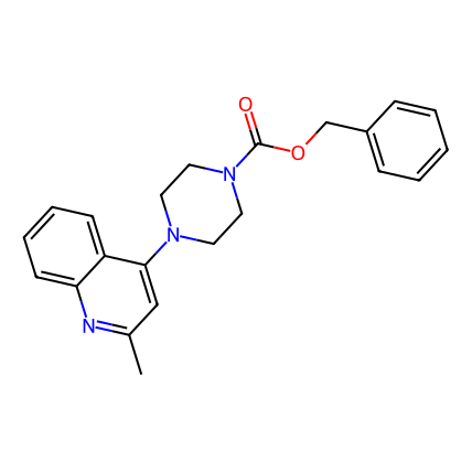 Cc1cc(N2CCN(C(=O)OCc3ccccc3)CC2)c2ccccc2n1